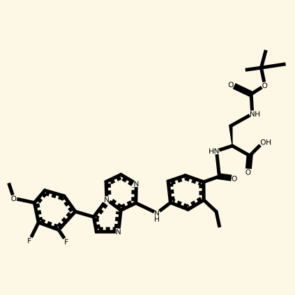 CCc1cc(Nc2nccn3c(-c4ccc(OC)c(F)c4F)cnc23)ccc1C(=O)N[C@@H](CNC(=O)OC(C)(C)C)C(=O)O